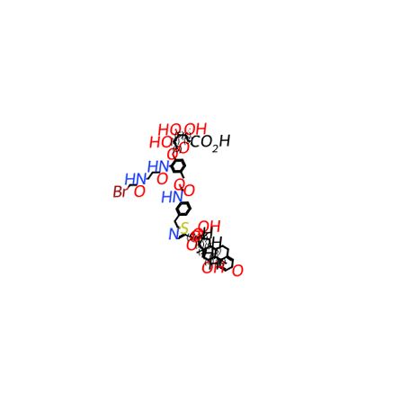 C[C@]12C=CC(=O)C=C1CC[C@@H]1[C@@H]2[C@@H](O)C[C@@]2(C)[C@H]1C[C@H]1O[C@H](c3cnc(Cc4cccc(NC(=O)OCc5ccc(O[C@@H]6O[C@H](C(=O)O)[C@@H](O)[C@H](O)[C@H]6O)c(NC(=O)CCNC(=O)CBr)c5)c4)s3)O[C@]12C(=O)CO